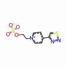 O=S(=O)([O-])OCC[n+]1ccc(-c2csnn2)cc1